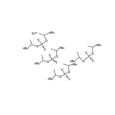 CCCCC(C)OP(=S)([S-])OC(C)CCCC.CCCCC(C)OP(=S)([S-])OC(C)CCCC.CCCCC(C)OP(=S)([S-])OC(C)CCCC.CCCCC(C)OP(=S)([S-])OC(C)CCCC.[Sn+4]